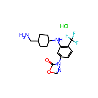 Cl.NCC1CCC(Nc2cc(-n3ncoc3=O)ccc2C(F)(F)F)CC1